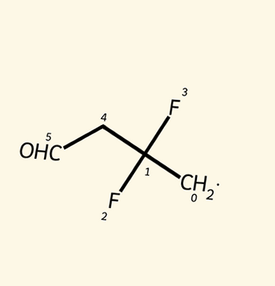 [CH2]C(F)(F)CC=O